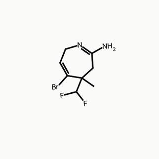 CC1(C(F)F)CC(N)=NCC=C1Br